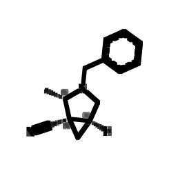 C[C@@H]1N(Cc2ccccc2)C[C@H]2C[C@]21C#N